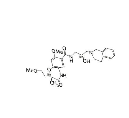 COCC[C@]1(C)Oc2cc(OC)c(C(=O)NC[C@H](O)CN3CCc4ccccc4C3)cc2NC1=O